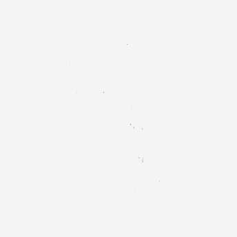 CCO/C(C)=C(/C(=O)O)c1ccccc1CC=NOc1cccc(C(F)(F)F)n1